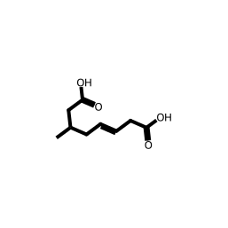 CC(CC=CCC(=O)O)CC(=O)O